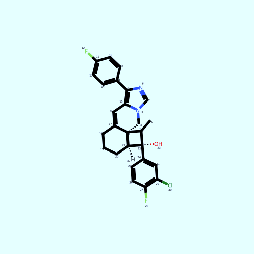 CC1[C@]23Cn4cnc(-c5ccc(F)cc5)c4C=C2CCC[C@@H]3[C@]1(O)c1ccc(F)c(Cl)c1